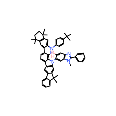 Cn1c(-c2ccccc2)nc2cc3c(cc21)-n1c2cc4c(cc2c2ccc(-c5cc6c(cc5Nc5ccc(C(C)(C)C)cc5)C(C)(C)CCC6(C)C)c(c21)B3)-c1ccccc1C4(C)C